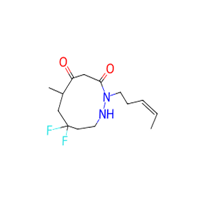 C/C=C\CCN1NCCC(F)(F)CC(C)C(=O)CC1=O